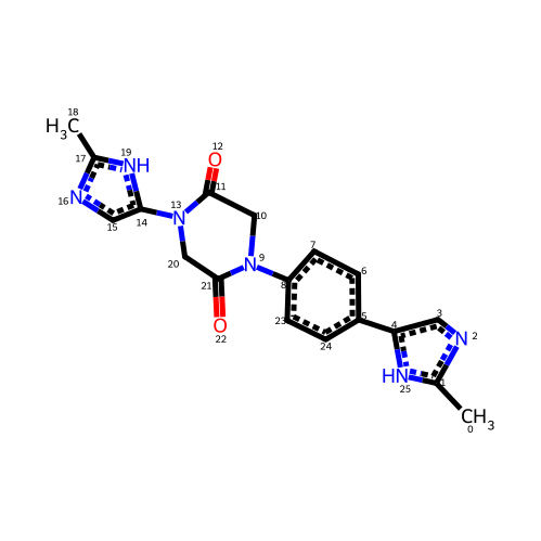 Cc1ncc(-c2ccc(N3CC(=O)N(c4cnc(C)[nH]4)CC3=O)cc2)[nH]1